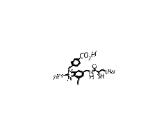 CCCc1nc2c(C)cc(CNC(=O)C(S)CC(C)(C)C)cc2n1Cc1ccc(C(=O)O)cc1